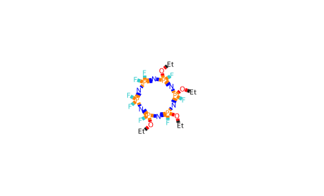 CCOP1(F)=NP(F)(F)=NP(F)(F)=NP(F)(OCC)=NP(F)(OCC)=NP(F)(OCC)=N1